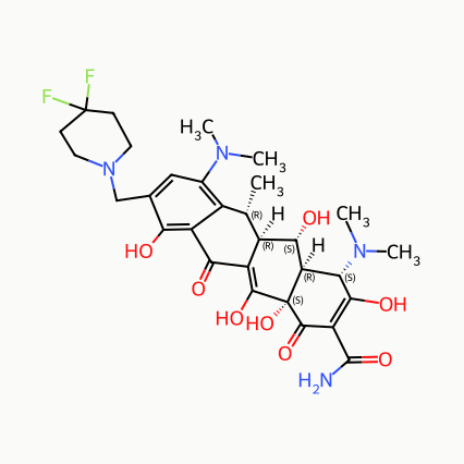 C[C@H]1c2c(N(C)C)cc(CN3CCC(F)(F)CC3)c(O)c2C(=O)C2=C(O)[C@]3(O)C(=O)C(C(N)=O)=C(O)[C@@H](N(C)C)[C@@H]3[C@@H](O)[C@@H]21